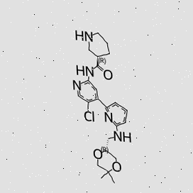 CC1(C)CO[C@H](CNc2cccc(-c3cc(NC(=O)[C@@H]4CCCNC4)ncc3Cl)n2)CO1